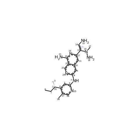 CC[C@H](C)c1cc(Nc2cc3cc(/C(=C/N)N(C)N)nc(N)c3cn2)ncc1C